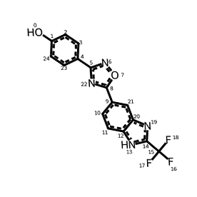 Oc1ccc(-c2noc(-c3ccc4[nH]c(C(F)(F)F)nc4c3)n2)cc1